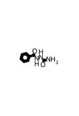 NC(=O)NNC(=O)c1ccccc1